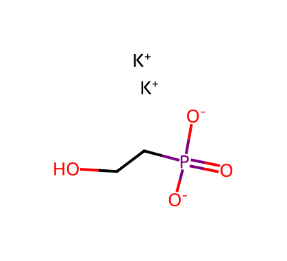 O=P([O-])([O-])CCO.[K+].[K+]